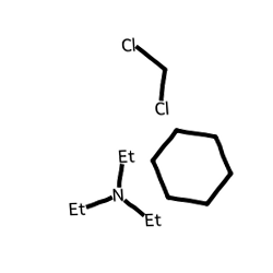 C1CCCCC1.CCN(CC)CC.ClCCl